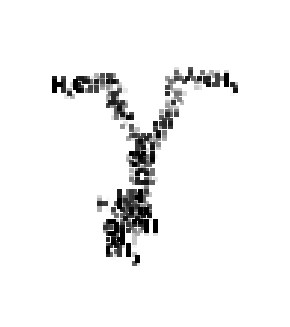 CCCCC/C=C\C/C=C\CCCCCCCCC(CCCCCCCC/C=C\C/C=C\CCCCC)OC(=O)c1ccc(CNC(=O)/C(C)=C(/CCC(=O)NCC)C(=O)O)cc1